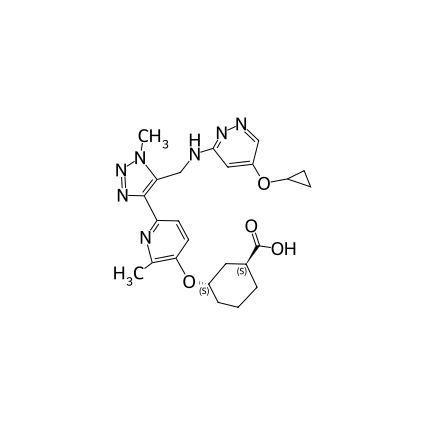 Cc1nc(-c2nnn(C)c2CNc2cc(OC3CC3)cnn2)ccc1O[C@H]1CCC[C@H](C(=O)O)C1